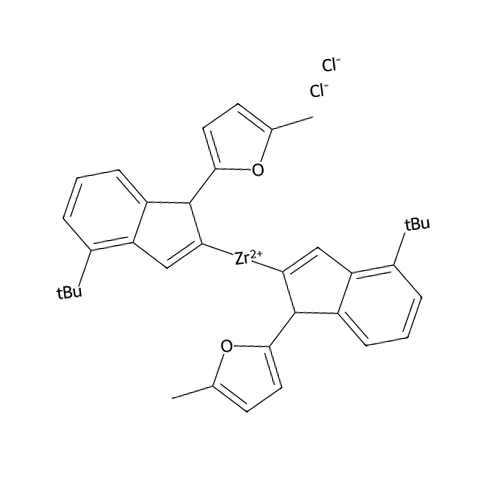 Cc1ccc(C2[C]([Zr+2][C]3=Cc4c(cccc4C(C)(C)C)C3c3ccc(C)o3)=Cc3c2cccc3C(C)(C)C)o1.[Cl-].[Cl-]